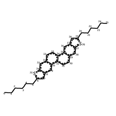 CCCCCCc1cc2cc3c(ccc4c5cc6cc(CCCCCC)sc6cc5ccc34)cc2s1